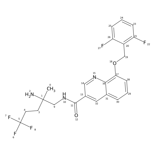 CC(N)(CCC(F)(F)F)CNC(=O)c1cnc2c(OCc3c(F)cccc3F)cccc2c1